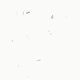 CC[C@@]1(O)C(=O)OCc2c1cc1n(c2=O)CC(=C2/C=CCC[C@@H]2N)/C1=N\C(CF)C(C)C